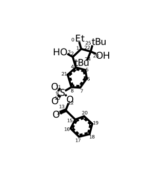 CCC(C(O)c1cccc(S(=O)(=O)OC(=O)c2ccccc2)c1)C(O)(C(C)(C)C)C(C)(C)C